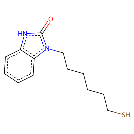 O=c1[nH]c2ccccc2n1CCCCCCS